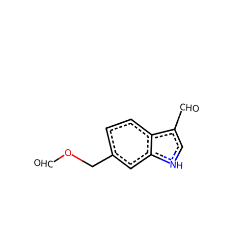 O=COCc1ccc2c(C=O)c[nH]c2c1